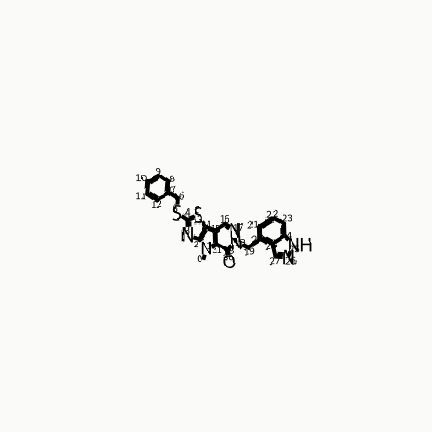 Cn1c2nc(SCc3ccccc3)sc2c2cnn(Cc3cccc4[nH]ncc34)c(=O)c21